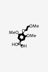 COCCOc1c(OC)cc(B(O)O)cc1OC